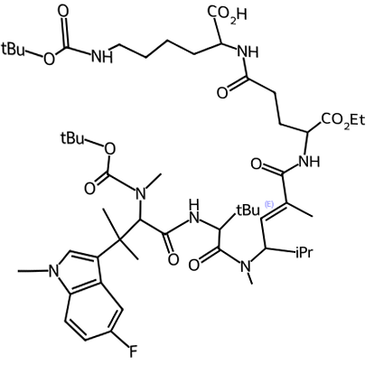 CCOC(=O)C(CCC(=O)NC(CCCCNC(=O)OC(C)(C)C)C(=O)O)NC(=O)/C(C)=C/C(C(C)C)N(C)C(=O)C(NC(=O)C(N(C)C(=O)OC(C)(C)C)C(C)(C)c1cn(C)c2ccc(F)cc12)C(C)(C)C